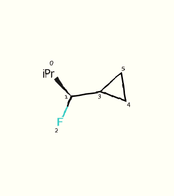 CC(C)[C@H](F)C1CC1